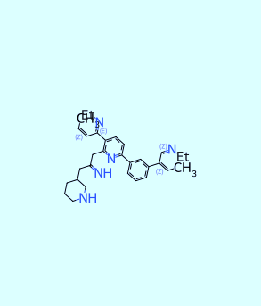 C/C=C\C(=N/CC)c1ccc(-c2cccc(C(/C=N\CC)=C/C)c2)nc1CC(=N)CC1CCCNC1